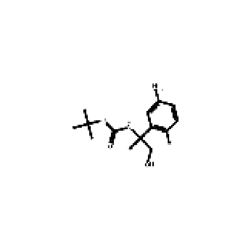 CC(C)(C)OC(=O)NC(C)(CO)c1cc(N)ccc1F